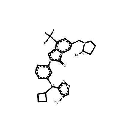 C[C@@H]1CCCN1Cc1cc(C(F)(F)F)c2cn(-c3cccc([C@@H](c4nncn4C)C4CCC4)c3)c(=O)n2c1